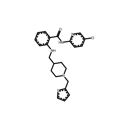 O=C(Nc1ccc(Cl)cn1)c1ccccc1NCC1CCN(Cc2cccs2)CC1